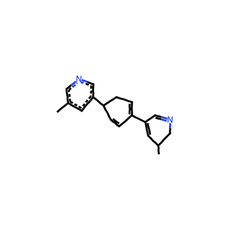 Cc1cncc(C2C=CC(C3=CC(C)CN=C3)=CC2)c1